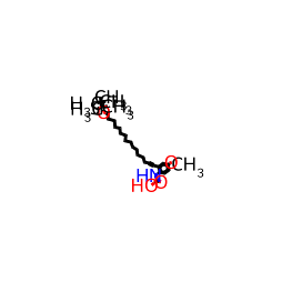 COc1ccc(NC(=O)O)c(C#CCCCCCCCCCCCCCCO[Si](C)(C)C(C)(C)C)c1